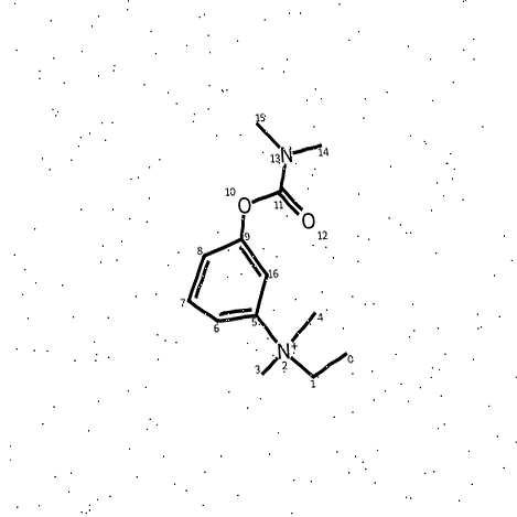 CC[N+](C)(C)c1cccc(OC(=O)N(C)C)c1